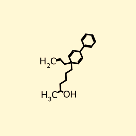 C=CCC1(CCCCC(C)O)C=CC(c2ccccc2)C=C1